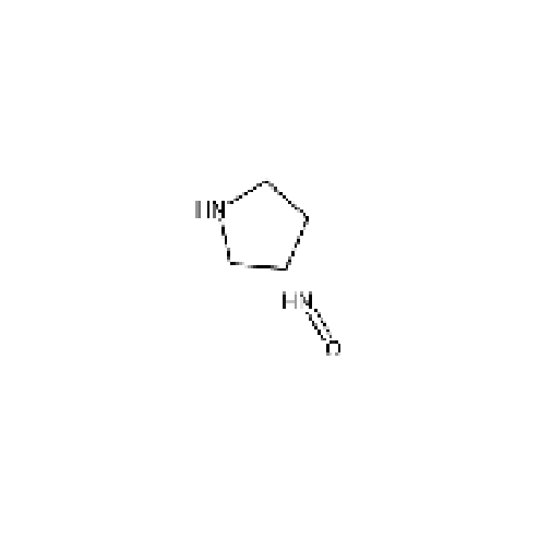 C1CCNC1.N=O